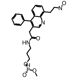 CO[PH](=O)OCCCNC(=O)Cc1cnc2c(CCN=O)cccc2c1-c1ccccc1